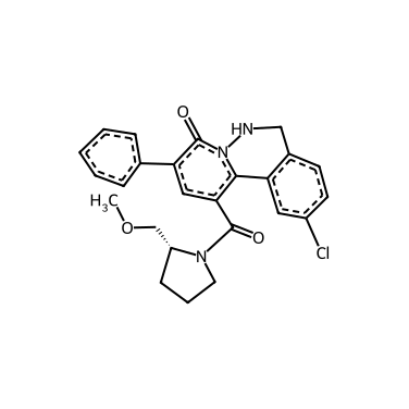 COC[C@H]1CCCN1C(=O)c1cc(-c2ccccc2)c(=O)n2c1-c1cc(Cl)ccc1CN2